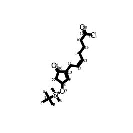 CC(C)(C)[Si](C)(C)OC1C=C(C/C=C\CCCC(=O)Cl)C(=O)C1